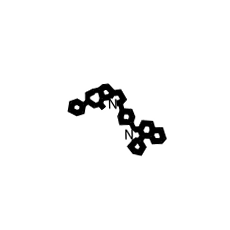 C=C1C=C(c2ccccc2)C=Cc2ccc3ccc(-c4ccc(-c5nc6ccccc6c6c5ccc5ccccc56)cc4)nc3c21